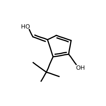 CC(C)(C)C1=C(O)C=CC1=CO